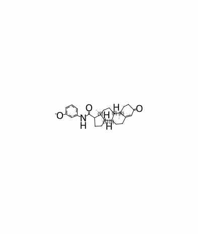 COc1cccc(NC(=O)C2CC[C@H]3[C@@H]4CCC5=CC(=O)CC[C@]5(C)[C@@H]4CC[C@]23C)c1